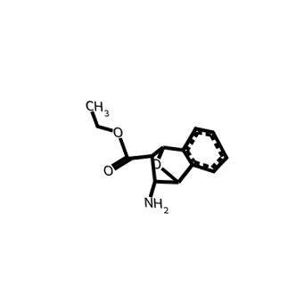 CCOC(=O)C1C2OC(c3ccccc32)C1N